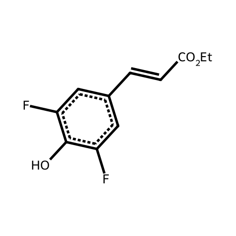 CCOC(=O)/C=C/c1cc(F)c(O)c(F)c1